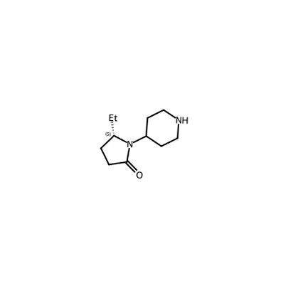 CC[C@H]1CCC(=O)N1C1CCNCC1